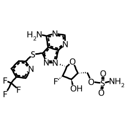 Nc1ncnc2c1c(Sc1ccc(C(F)(F)F)cn1)nn2[C@@H]1O[C@H](COS(N)(=O)=O)[C@@H](O)[C@@H]1F